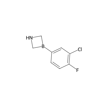 Fc1ccc(B2CNC2)cc1Cl